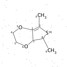 CC1=C2OCCOC2C(C)S1